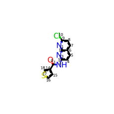 O=C(Nc1ccc2ccc(Cl)nc2n1)c1ccsc1